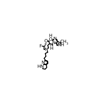 CN1NC=C2C1=CN=CN2NC(CCN(CCCCc1ccc2c(n1)NCCC2)CC(F)F)C(=O)O